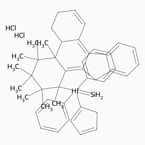 CC12C(=C3Cc4ccccc4C3=C3C=CCCC31)[C](C)([Hf](=[SiH2])([C]1=CC=CC1)([c]1ccccc1)[c]1ccccc1)C(C)(C)C(C)(C)C2(C)C.Cl.Cl